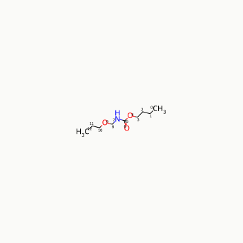 CCCCOC(=O)NCOCCC